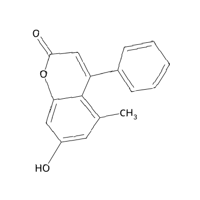 Cc1cc(O)cc2oc(=O)cc(-c3ccccc3)c12